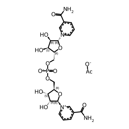 CC(=O)[O-].NC(=O)c1ccc[n+]([C@@H]2O[C@H](COP(=O)([O-])OC[C@H]3O[C@@H]([n+]4cccc(C(N)=O)c4)[C@H](O)[C@@H]3O)[C@@H](O)[C@H]2O)c1